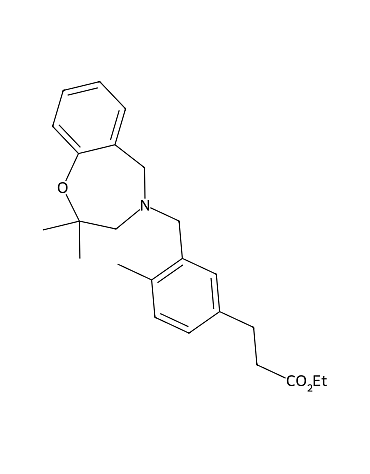 CCOC(=O)CCc1ccc(C)c(CN2Cc3ccccc3OC(C)(C)C2)c1